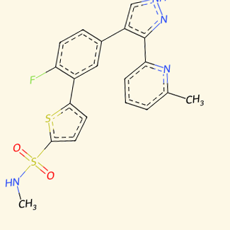 CNS(=O)(=O)c1ccc(-c2cc(-c3c[nH]nc3-c3cccc(C)n3)ccc2F)s1